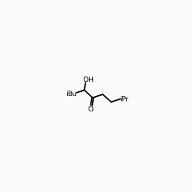 CCC(C)C(O)C(=O)CCC(C)C